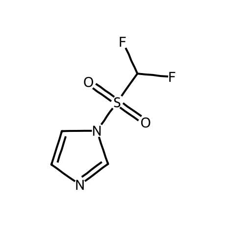 O=S(=O)(C(F)F)n1ccnc1